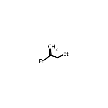 [CH2]CCC(=C)CC